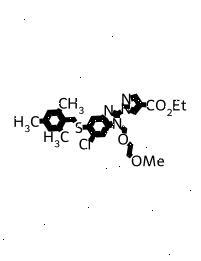 CCOC(=O)c1cnn(-c2nc3cc(SCc4c(C)cc(C)cc4C)c(Cl)cc3n2COCCOC)c1